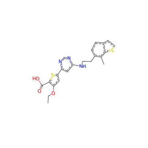 CCOc1cc(-c2cc(NCCc3ccc4ccsc4c3C)ncn2)sc1C(=O)O